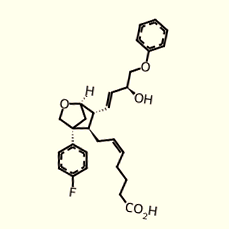 O=C(O)CCC/C=C\C[C@@H]1[C@@H](/C=C/[C@H](O)COc2ccccc2)[C@H]2C[C@]1(c1ccc(F)cc1)CO2